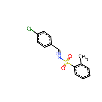 Cc1ccccc1S(=O)(=O)/N=C/c1ccc(Cl)cc1